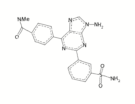 CNC(=O)c1ccc(-c2nc(-c3cccc(S(N)(=O)=O)c3)nc3c2ncn3N)cc1